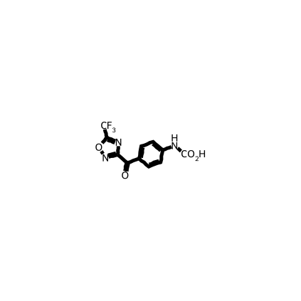 O=C(O)Nc1ccc(C(=O)c2noc(C(F)(F)F)n2)cc1